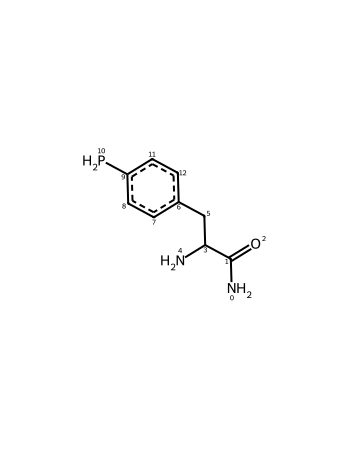 NC(=O)C(N)Cc1ccc(P)cc1